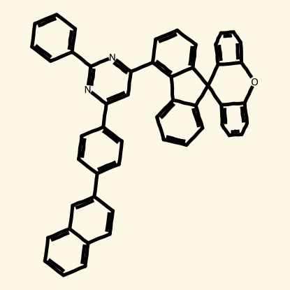 c1ccc(-c2nc(-c3ccc(-c4ccc5ccccc5c4)cc3)cc(-c3cccc4c3-c3ccccc3C43c4ccccc4Oc4ccccc43)n2)cc1